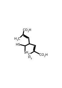 CC(=CC(C=C(C)C(=O)O)C(S)S)C(=O)O